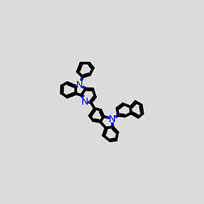 c1ccc(-n2c3ccccc3c3nc(-c4ccc5c6ccccc6n(-c6ccc7ccccc7c6)c5c4)ccc32)cc1